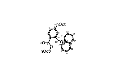 CCCCCCCCOC(=O)c1ccc(CCCCCCCC)cc1C(=O)O.c1ccc2ccccc2c1